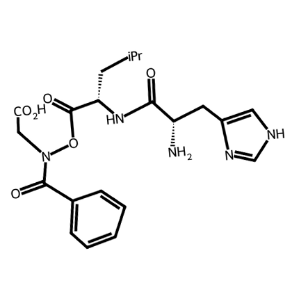 CC(C)C[C@H](NC(=O)[C@@H](N)Cc1c[nH]cn1)C(=O)ON(CC(=O)O)C(=O)c1ccccc1